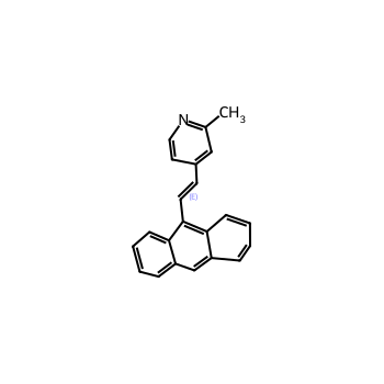 Cc1cc(/C=C/c2c3ccccc3cc3ccccc23)ccn1